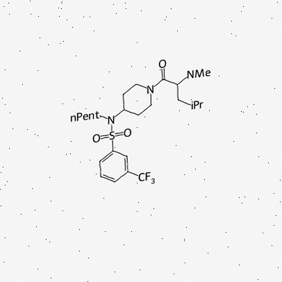 CCCCCN(C1CCN(C(=O)C(CC(C)C)NC)CC1)S(=O)(=O)c1cccc(C(F)(F)F)c1